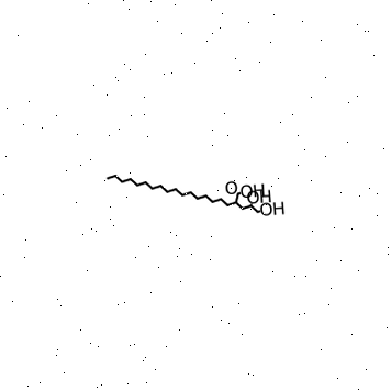 CCCCCCCCCCCCCCCCCC(CC(O)CO)C(=O)O